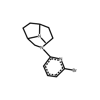 CN1C2CCC1CN(c1cccc(Br)n1)CC2